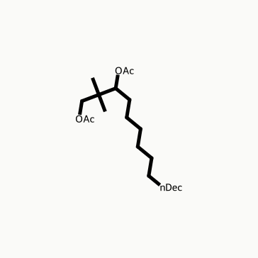 CCCCCCCCCCCCCCCCC(OC(C)=O)C(C)(C)COC(C)=O